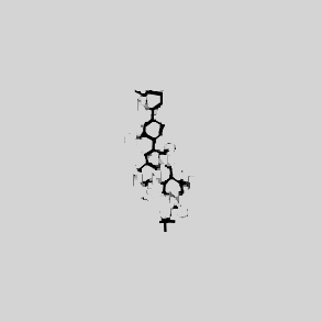 CSc1ncc2cc(-c3ccc(-c4cccc(C)n4)cc3Cl)c(=O)n(CC3CCN(C(=O)OC(C)(C)C)CC3(F)F)c2n1